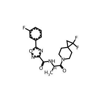 C[C@@H](NC(=O)c1noc(-c2cccc(F)c2)n1)C(=O)N1CCC2(CC1)CC2(F)F